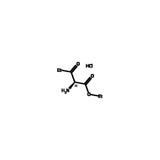 CCOC(=O)[C@@H](N)C(=O)CC.Cl